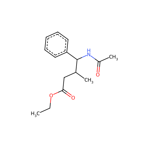 CCOC(=O)CC(C)C(NC(C)=O)c1ccccc1